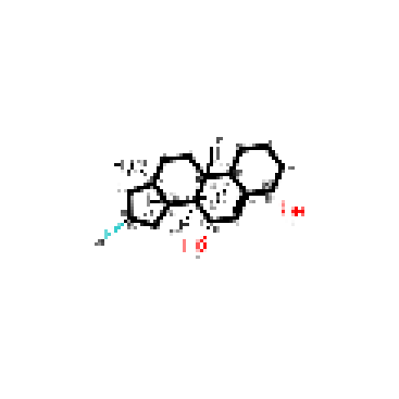 C[C@]12CC[C@H]3[C@@H]([C@@H](O)C=C4[C@@H](O)CCC[C@@]43C)[C@@H]1C[C@@H](F)C2